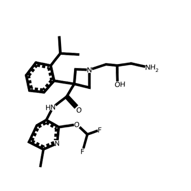 Cc1ccc(NC(=O)C2(c3ccccc3C(C)C)CN(CC(O)CN)C2)c(OC(F)F)n1